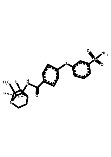 C[C@H]1[C@H](NC(=O)c2ccc(Sc3cccc(S(N)(=O)=O)c3)cc2)C2CCN1CC2